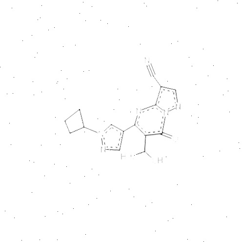 CC(C)c1c(-c2cnn(C3CCC3)c2)[nH]c2c(C#N)cnn2c1=O